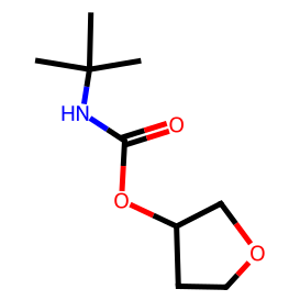 CC(C)(C)NC(=O)OC1CCOC1